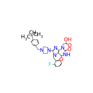 CC(C)(C)c1ccc(CN2CCN(c3nc4c(c(=O)[nH]c(=O)n4CC(=O)O)n3Cc3ccccc3F)CC2)cc1